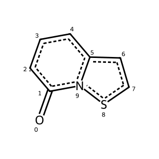 O=c1[c]ccc2ccsn12